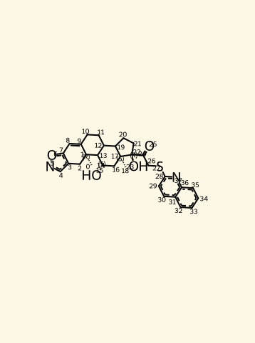 C[C@]12Cc3cnoc3C=C1CCC1C2[C@@H](O)C[C@@]2(C)C1CC[C@]2(O)C(=O)CSc1ccc2ccccc2n1